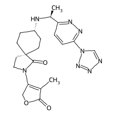 CC1=C(N2CC[C@]3(CC[C@@H](N[C@@H](C)c4ccc(-n5cnnn5)nn4)CC3)C2=O)COC1=O